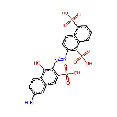 Nc1ccc2c(O)c(/N=N/c3ccc4c(S(=O)(=O)O)cccc4c3S(=O)(=O)O)c(S(=O)(=O)O)cc2c1